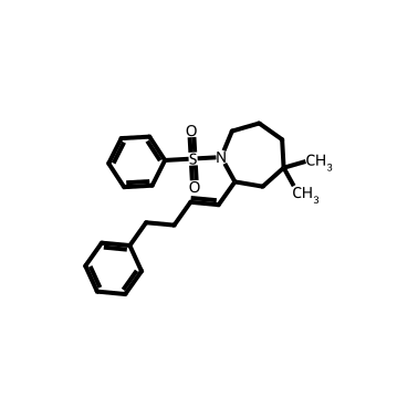 CC1(C)CCCN(S(=O)(=O)c2ccccc2)C(C=CCCc2ccccc2)C1